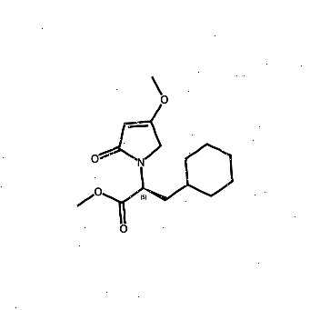 COC(=O)[C@H](CC1CCCCC1)N1CC(OC)=CC1=O